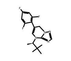 C[C@@H](N1C=C(c2c(F)cc(F)cc2F)Cn2ncnc21)C(C)(C)C